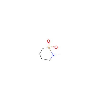 [CH2]N1CCCCS1(=O)=O